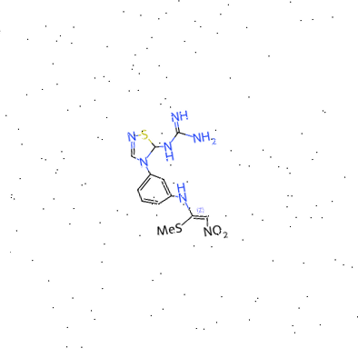 CS/C(=C\[N+](=O)[O-])Nc1cccc(N2C=NSC2NC(=N)N)c1